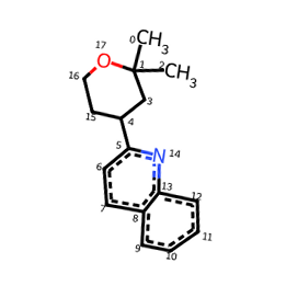 CC1(C)CC(c2ccc3ccccc3n2)CCO1